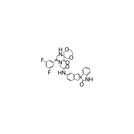 O=C(CN1C(=O)C2(COCCOC2)NC[C@H]1c1cc(F)cc(F)c1)Nc1ccc2c(c1)C[C@]1(C2)C(=O)Nc2ccccc21